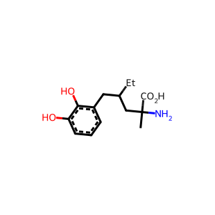 CCC(Cc1cccc(O)c1O)CC(C)(N)C(=O)O